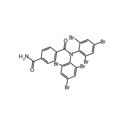 NC(=O)c1ccc(C(=O)N(c2c(Br)cc(Br)cc2Br)c2c(Br)cc(Br)cc2Br)cc1